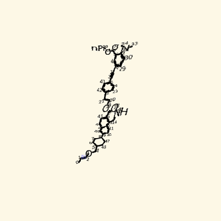 C/C=C/OCC1CCC(c2ccc3c(C=N)c(C(=O)OCCc4ccc(C#Cc5ccc(N(C)C)c(C(=O)OCCC)c5)cc4)ccc3c2)CC1